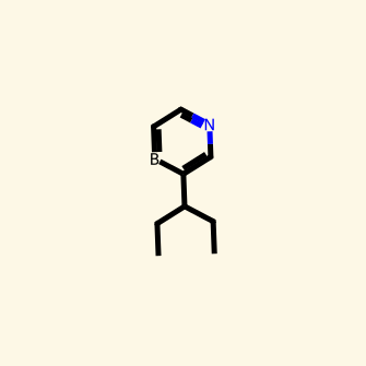 CCC(CC)c1bccnc1